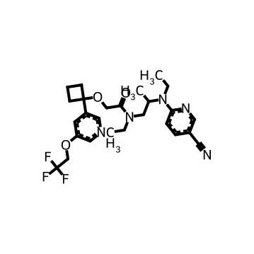 CCN(CC(C)N(CC)c1ccc(C#N)cn1)C(=O)COC1(c2cncc(OCC(F)(F)F)c2)CCC1